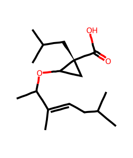 CC(=CCC(C)C)C(C)OC1C[C@@]1(CC(C)C)C(=O)O